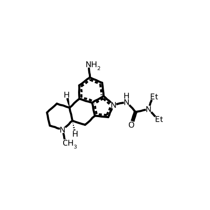 CCN(CC)C(=O)Nn1cc2c3c(cc(N)cc31)[C@H]1CCCN(C)[C@@H]1C2